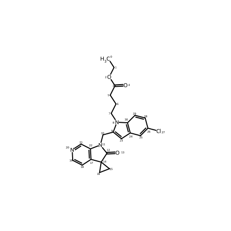 CCOC(=O)CCCn1c(CN2C(=O)C3(CC3)c3ccncc32)cc2cc(Cl)ccc21